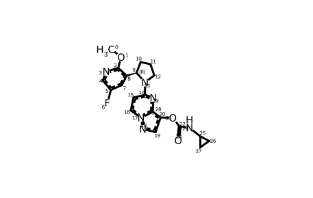 COc1ncc(F)cc1[C@H]1CCCN1c1ccn2ncc(OC(=O)NC3CC3)c2n1